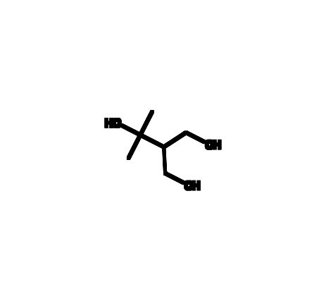 CC(C)(O)C(CO)CO